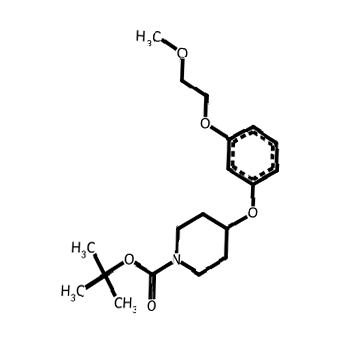 COCCOc1cccc(OC2CCN(C(=O)OC(C)(C)C)CC2)c1